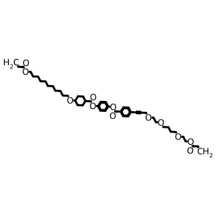 C=CC(=O)OCCCCCCCCCCCOC1CCC(C(=O)Oc2ccc(OC(=O)c3ccc(C#CCOCCOCCCCOCCOC(=O)C=C)cc3)cc2)CC1